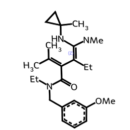 CC/C(C(C(=O)N(CC)Cc1cccc(OC)c1)=C(C)C)=C(\NC)NC1(C)CC1